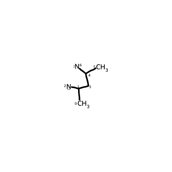 CC([N])CC(C)[N]